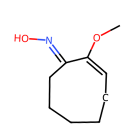 CO/C1=C/CCCCC\C1=N/O